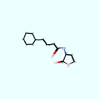 O=C(CCCC1CCCCC1)NC1CCOC1=O